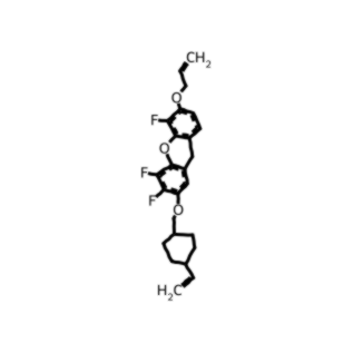 C=CCOc1ccc2c(c1F)Oc1c(cc(OCC3CCC(C=C)CC3)c(F)c1F)C2